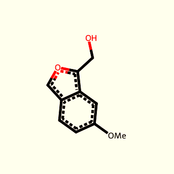 COc1ccc2coc(CO)c2c1